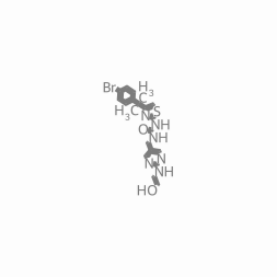 CC(C)(c1ccc(Br)cc1)c1csc(NC(=O)NCc2cnc(NCCO)nc2)n1